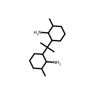 CC1CCCC(C(C)(C)C2CCCC(C)C2N)C1N